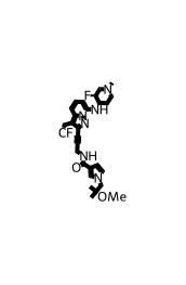 COC(C)(C)Cn1ccc(C(=O)NCC#Cc2nn3c(N[C@@H]4CCN(C)C[C@@H]4F)cccc3c2CC(F)(F)F)c1